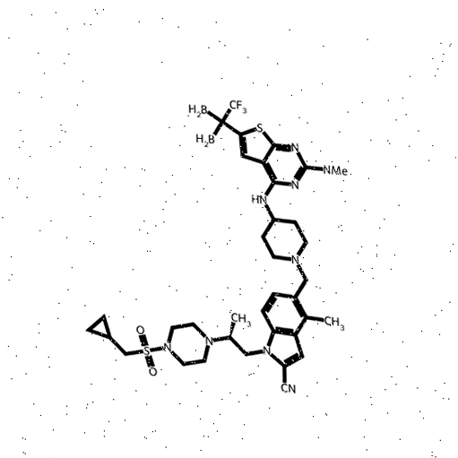 BC(B)(c1cc2c(NC3CCN(Cc4ccc5c(cc(C#N)n5C[C@H](C)N5CCN(S(=O)(=O)CC6CC6)CC5)c4C)CC3)nc(NC)nc2s1)C(F)(F)F